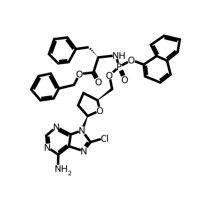 Nc1ncnc2c1nc(Cl)n2[C@H]1CC[C@@H](COP(=O)(N[C@@H](Cc2ccccc2)C(=O)OCc2ccccc2)Oc2cccc3ccccc23)O1